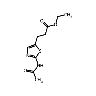 CCOC(=O)CCc1cnc(NC(C)=O)s1